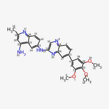 COc1cc(-c2ccc3ncc(Nc4ccc5nc(C)cc(N)c5c4)nc3c2)cc(OC)c1OC